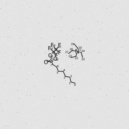 CCCCCCCCS(=O)(=O)OC(F)(F)C(F)(F)F.CC[N+](CC)(CC)CC